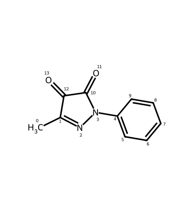 CC1=NN(c2ccccc2)C(=O)C1=O